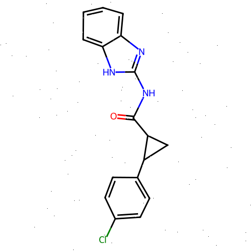 O=C(Nc1nc2ccccc2[nH]1)C1CC1c1ccc(Cl)cc1